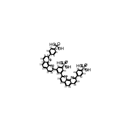 O=P(O)(O)c1ccc(-c2ccc3ccc4ccc(-c5cc(-c6ccc7ccc8ccc(-c9ccc(P(=O)(O)O)cc9)nc8c7n6)cc(P(=O)(O)O)c5)nc4c3n2)cc1